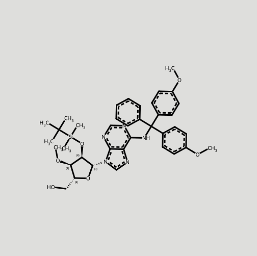 COc1ccc(C(Nc2ncnc3c2ncn3[C@@H]2O[C@H](CO)[C@@H](OC)[C@H]2O[Si](C)(C)C(C)(C)C)(c2ccccc2)c2ccc(OC)cc2)cc1